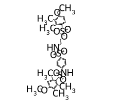 COc1ccc(S(=O)(=O)OCCNS(=O)(=O)c2ccc(NS(=O)(=O)c3c(C)cc(OC)c(C)c3C)cc2)c(C)c1C